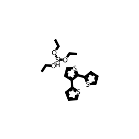 CCO[SiH](OCC)OCC.c1csc(-c2ccsc2-c2cccs2)c1